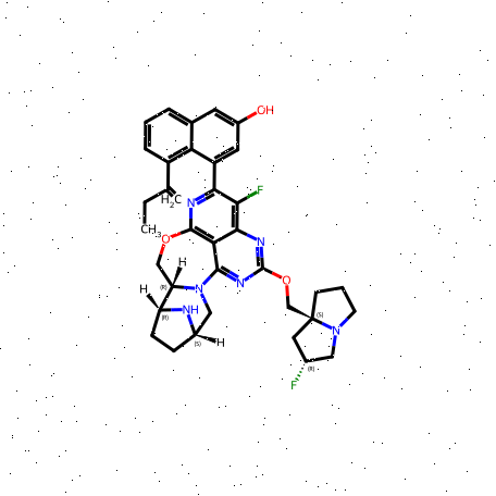 C=C(CC)c1cccc2cc(O)cc(-c3nc4c5c(nc(OC[C@@]67CCCN6C[C@H](F)C7)nc5c3F)N3C[C@@H]5CC[C@@H](N5)[C@@H]3CO4)c12